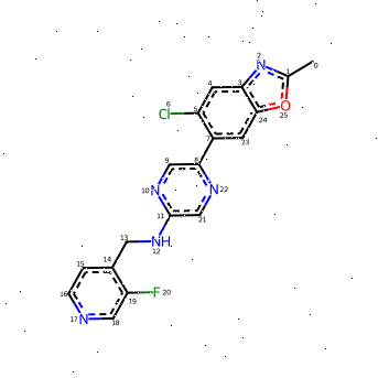 Cc1nc2cc(Cl)c(-c3cnc(NCc4ccncc4F)cn3)cc2o1